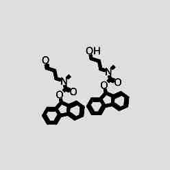 CN(CCC=O)C(=O)OC1c2ccccc2-c2ccccc21.CN(CCCO)C(=O)OC1c2ccccc2-c2ccccc21